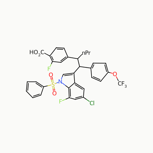 CCCC(c1ccc(C(=O)O)c(F)c1)C(c1ccc(OC(F)(F)F)cc1)c1cn(S(=O)(=O)c2ccccc2)c2c(F)cc(Cl)cc12